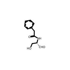 O=C[C@H](CO)NC(=O)Cc1ccccc1